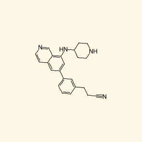 N#CCCc1cccc(-c2cc(NC3CCNCC3)c3cnccc3c2)c1